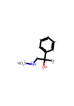 CCC(O)(CNS(=O)(=O)O)c1ccccc1